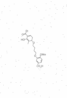 CCC(=O)C1=CCC(OCCCCOc2cc(C(=O)O)ccc2OC)C(C)=C1O